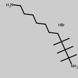 Br.CC(C)(N)C(C)(C)C(C)(C)CCCCCCCN